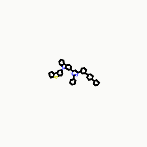 c1ccc(-c2ccc(-c3cccc(-c4cc(-c5ccc6c7ccccc7n(-c7ccc8sc9ccccc9c8c7)c6c5)nc(-c5ccccc5)n4)c3)cc2)cc1